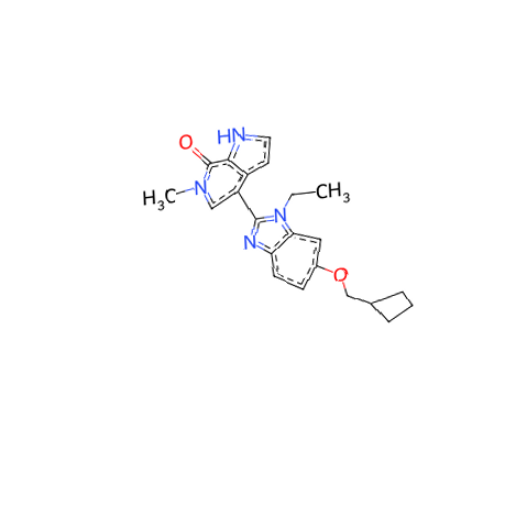 CCn1c(-c2cn(C)c(=O)c3[nH]ccc23)nc2ccc(OCC3CCC3)cc21